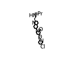 CCCNCCc1ccc2cc(-n3ccc(OCc4ccc(Cl)cn4)cc3=O)ccc2n1